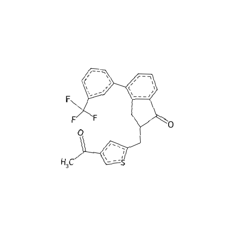 CC(=O)c1csc(CC2Cc3c(cccc3-c3cccc(C(F)(F)F)c3)C2=O)c1